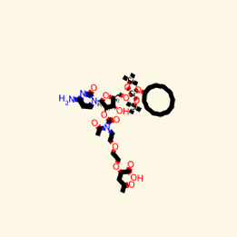 CC(=O)CC(OCCOCCN(C(C)=O)C(=O)O[C@@H]1[C@H](O)[C@@H](CO[Si](OC2CCCCCCCCCCC2)(O[Si](C)(C)C)O[Si](C)(C)C)O[C@H]1n1ccc(N)nc1=O)C(=O)O